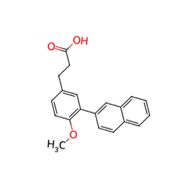 COc1ccc(CCC(=O)O)cc1-c1ccc2ccccc2c1